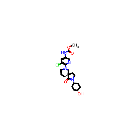 COC(=O)Nc1cnc(N2CCC[C@@]3(CCN([C@H]4CC[C@@H](O)CC4)C3=O)C2)c(Cl)c1